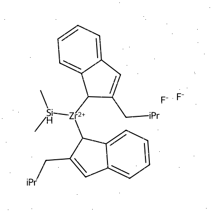 CC(C)CC1=Cc2ccccc2[CH]1[Zr+2]([CH]1C(CC(C)C)=Cc2ccccc21)[SiH](C)C.[F-].[F-]